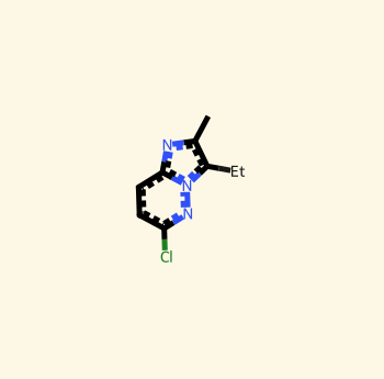 CCc1c(C)nc2ccc(Cl)nn12